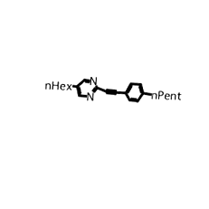 CCCCCCc1cnc(C#Cc2ccc(CCCCC)cc2)nc1